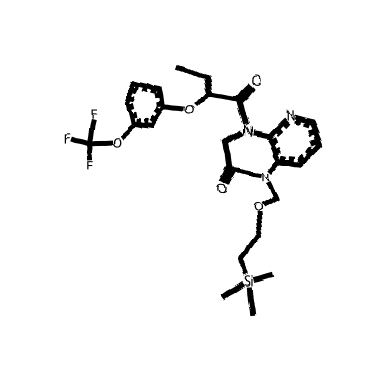 CCC(Oc1cccc(OC(F)(F)F)c1)C(=O)N1CC(=O)N(COCC[Si](C)(C)C)c2cccnc21